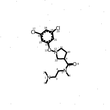 CN(C)CCN(C)C(=O)C1CCN(Oc2cc(Cl)cc(Cl)c2)C1